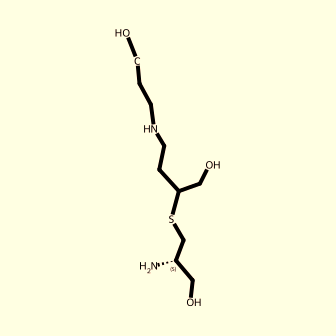 N[C@@H](CO)CSC(CO)CCNCCCO